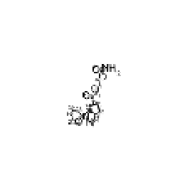 NC(=O)OCCOCC(=O)c1ccc2cnn(C3CCCCO3)c2c1